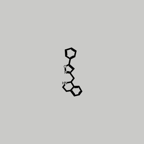 c1ccc(-c2cc(CC3NCCc4ccccc43)no2)cc1